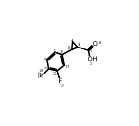 O=C(O)[C@@H]1CC1c1ccc(Br)c(F)c1